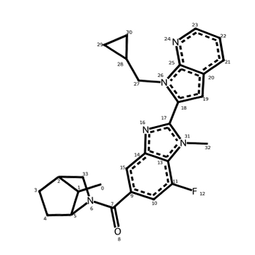 CC1C2CCC1N(C(=O)c1cc(F)c3c(c1)nc(-c1cc4cccnc4n1CC1CC1)n3C)C2